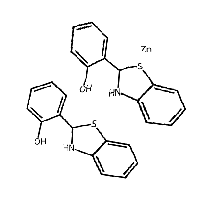 Oc1ccccc1C1Nc2ccccc2S1.Oc1ccccc1C1Nc2ccccc2S1.[Zn]